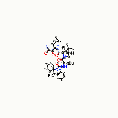 CCC(c1ccccc1)C1(NC(=O)N[C@H](C(=O)N2C[C@@H]3[C@@H]([C@H]2C(=O)NC(CC2CC2)C(=O)C(N)=O)C3(C)C)C(C)(C)C)CCCCC1